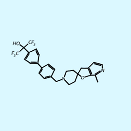 Cc1nccc2c1OC1(CCN(Cc3ccc(-c4ccc(C(O)(C(F)(F)F)C(F)(F)F)cc4)cc3)CC1)C2